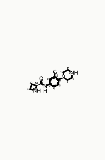 O=C(Nc1ccc(N2CCNCC2)c(Cl)c1)[C@@H]1CCN1